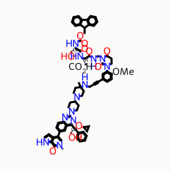 COc1ccc(C#CCNC2(C)CCN(C3CCN(c4nc([C@@](CO)(OC5CC5)c5ccccc5)c5cc(-c6cn(C)c(=O)c7[nH]ccc67)ccc5n4)CC3)CC2)cc1N1CCC(=O)N(CNC(=O)[C@H](CC(=O)O)NC(=O)[C@H](CO)NC(=O)OCC2c3ccccc3-c3ccccc32)C1=O